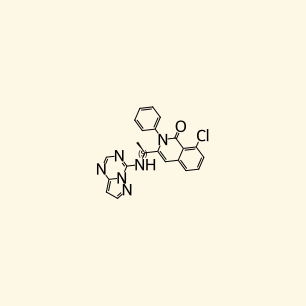 C[C@H](Nc1ncnc2ccnn12)c1cc2cccc(Cl)c2c(=O)n1-c1ccccc1